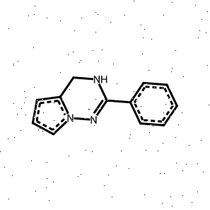 c1ccc(C2=Nn3cccc3CN2)cc1